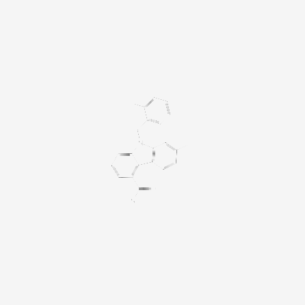 NC(=O)c1cccc2c1c1[c]cc(Cl)cc1n2Cc1ccccc1F